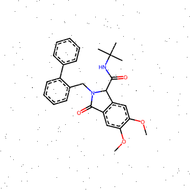 COc1cc2c(cc1OC)C(C(=O)NC(C)(C)C)N(Cc1ccccc1-c1ccccc1)C2=O